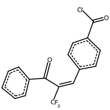 O=C(Cl)c1ccc(C=C(C(=O)c2ccccc2)C(F)(F)F)cc1